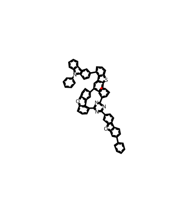 c1ccc(-c2ccc3c(c2)oc2cc(-c4nc(-c5ccccc5)nc(-c5cccc6oc7ccc(-c8ccc9sc%10cccc(-c%11ccc%12c(c%11)c%11ccccc%11n%12-c%11ccccc%11)c%10c9c8)cc7c56)n4)ccc23)cc1